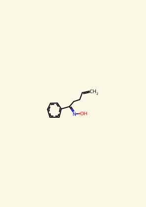 C=CCC/C(=N\O)c1ccccc1